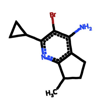 CC1CCc2c1nc(C1CC1)c(Br)c2N